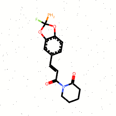 O=C(/C=C/c1ccc2c(c1)OC(F)(P)O2)N1CCCCC1=O